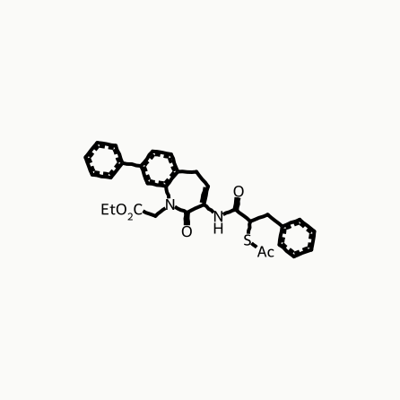 CCOC(=O)CN1C(=O)C(NC(=O)C(Cc2ccccc2)SC(C)=O)=CCc2ccc(-c3ccccc3)cc21